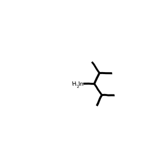 CC(C)[CH]([InH2])C(C)C